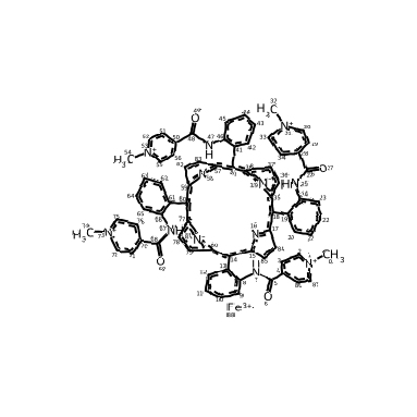 C[n+]1ccc(C(=O)Nc2ccccc2-c2c3nc(c(-c4ccccc4NC(=O)c4cc[n+](C)cc4)c4ccc([n-]4)c(-c4ccccc4NC(=O)c4cc[n+](C)cc4)c4nc(c(-c5ccccc5NC(=O)c5cc[n+](C)cc5)c5ccc2[n-]5)C=C4)C=C3)cc1.[Fe+3]